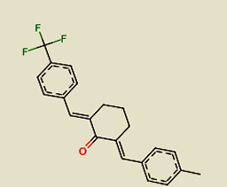 Cc1ccc(/C=C2\CCC/C(=C\c3ccc(C(F)(F)F)cc3)C2=O)cc1